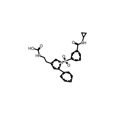 O=C(O)NCCc1cc(-c2ccccc2)n(S(=O)(=O)c2cccc(C(=O)NC3CC3)c2)c1